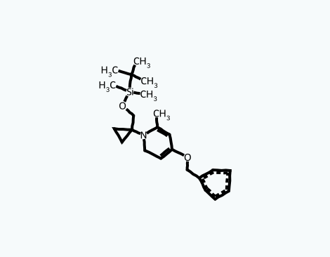 CC1=CC(OCc2ccccc2)=CCN1C1(CO[Si](C)(C)C(C)(C)C)CC1